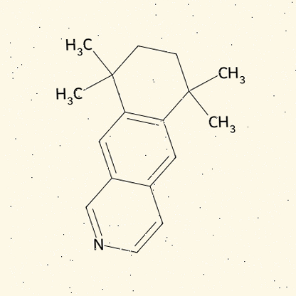 CC1(C)CCC(C)(C)c2cc3cnccc3cc21